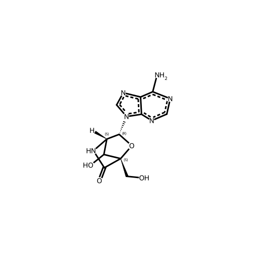 Nc1ncnc2c1ncn2[C@@H]1O[C@]2(CO)C(=O)N[C@H]1C2O